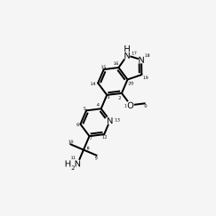 COc1c(-c2ccc(C(C)(C)N)cn2)ccc2[nH]ncc12